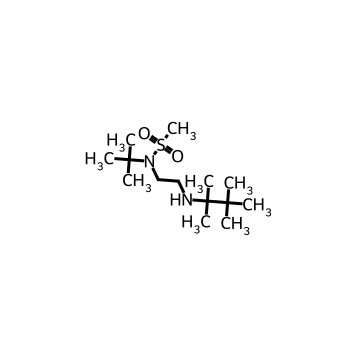 CC(C)(C)N(CCNC(C)(C)C(C)(C)C)S(C)(=O)=O